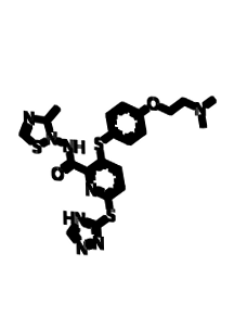 CC1N=CSN1NC(=O)c1nc(Sc2nnc[nH]2)ccc1Sc1ccc(OCCN(C)C)cc1